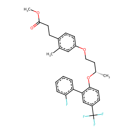 COC(=O)CCc1ccc(OCC[C@H](C)Oc2ccc(C(F)(F)F)cc2-c2ccccc2F)cc1C